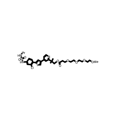 COCCOCCOCCOCCC(=O)OCC(C)(C)c1cc(-c2csc(-c3ccc(NS(=O)(=O)NC(C)C)cc3Cl)c2)ccn1